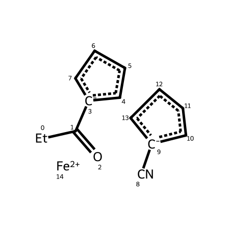 CCC(=O)[c-]1cccc1.N#C[c-]1cccc1.[Fe+2]